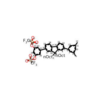 CCCCCCCCC1(CCCCCCCC)c2cc(-c3cc(C)cc(C)c3)ccc2-c2ccc(-c3cc(OS(=O)(=O)C(F)(F)F)cc(OS(=O)(=O)C(F)(F)F)c3)cc21